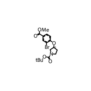 COC(=O)c1ccc(O[C@H]2CCN(C(=O)OC(C)(C)C)C2)c(Br)c1